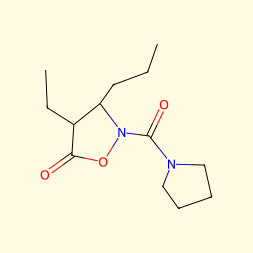 CCCC1C(CC)C(=O)ON1C(=O)N1CCCC1